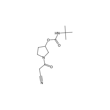 CC(C)(C)NC(=O)OC1CCN(C(=O)CC#N)C1